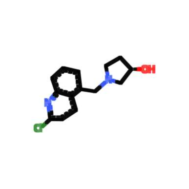 O[C@@H]1CCN(Cc2cccc3nc(Cl)ccc23)C1